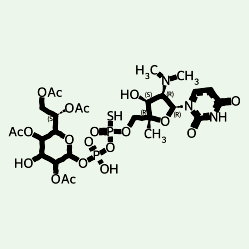 CC(=O)OC[C@H](OC(C)=O)C1OC(OP(=O)(O)OP(=O)(S)OC[C@@]2(C)O[C@@H](n3ccc(=O)[nH]c3=O)[C@H](N(C)C)[C@@H]2O)C(OC(C)=O)C(O)C1OC(C)=O